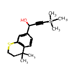 CC1(C)CCSc2cc(C(O)C#C[Si](C)(C)C)ccc21